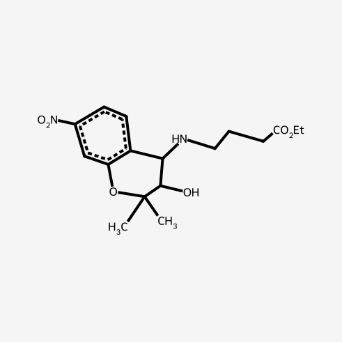 CCOC(=O)CCCNC1c2ccc([N+](=O)[O-])cc2OC(C)(C)C1O